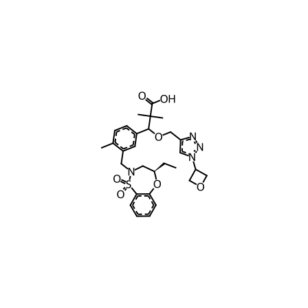 CC[C@@H]1CN(Cc2cc(C(OCc3cn(C4COC4)nn3)C(C)(C)C(=O)O)ccc2C)S(=O)(=O)c2ccccc2O1